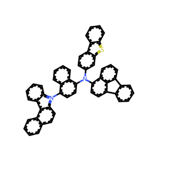 c1ccc2c(c1)-c1cccc3c(N(c4ccc5c(c4)sc4ccccc45)c4ccc(-n5c6ccccc6c6c7ccccc7ccc65)c5ccccc45)ccc-2c13